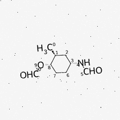 C[C@H]1C[C@H](NC=O)CC[C@@H]1OC=O